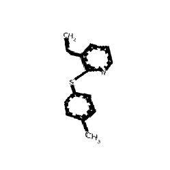 C=Cc1cccnc1Sc1ccc(C)cc1